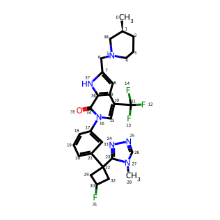 C[C@H]1CCCN(Cc2cc3c(C(F)(F)F)cn(-c4cccc(C5(c6nncn6C)CC(F)C5)c4)c(=O)c3[nH]2)C1